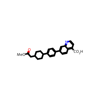 COC(=O)CC1CCC(c2ccc(-c3ccc4c(C(=O)O)ccnc4c3)cc2)CC1